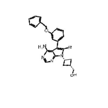 CCc1c(-c2cccc(OCc3ccccc3)c2)c2c(N)ncnc2n1[C@H]1C[C@@H](CO)C1